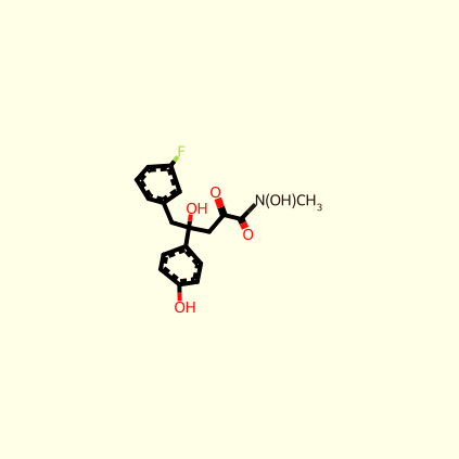 CN(O)C(=O)C(=O)CC(O)(Cc1cccc(F)c1)c1ccc(O)cc1